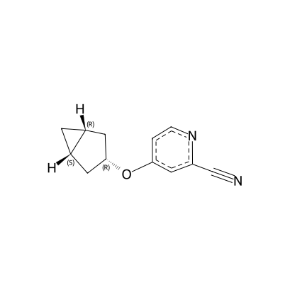 N#Cc1cc(O[C@@H]2C[C@@H]3C[C@@H]3C2)ccn1